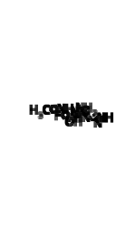 Cc1ccc(Nc2ccc(O)c(-c3ccc(C(=O)NCCc4c[nH]cn4)c(N)n3)c2)c(F)c1